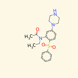 CCN(C(C)=O)c1cc(N2CCNCC2)ccc1S(=O)(=O)c1ccccc1